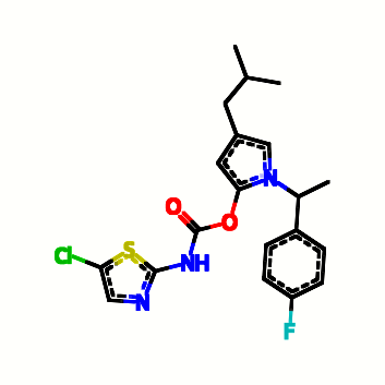 CC(C)Cc1cc(OC(=O)Nc2ncc(Cl)s2)n(C(C)c2ccc(F)cc2)c1